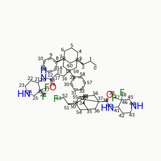 CCC[C@@]12CCC[C@@](c3ccccc3)(CC(CCC(=O)NC3CCNCC3(F)F)(c3ccc([C@]45CC6CC(C(=O)NC7CCNCC7(F)F)(C[C@](CCF)(C6)C4)C5)cc3)C1)C2